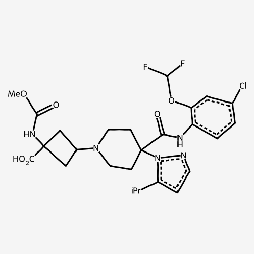 COC(=O)NC1(C(=O)O)CC(N2CCC(C(=O)Nc3ccc(Cl)cc3OC(F)F)(n3nccc3C(C)C)CC2)C1